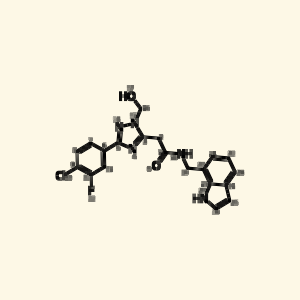 O=C(Cc1nc(-c2ccc(Cl)c(F)c2)nn1CO)NCc1cccc2cc[nH]c12